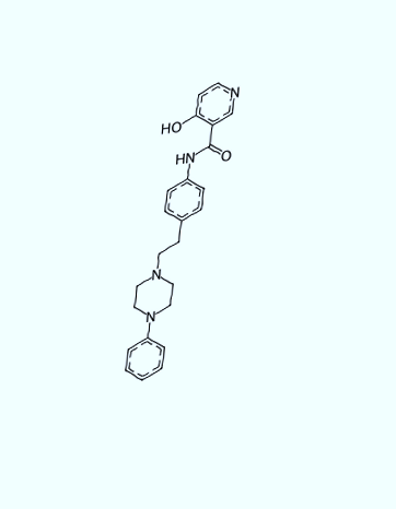 O=C(Nc1ccc(CCN2CCN(c3ccccc3)CC2)cc1)c1cnccc1O